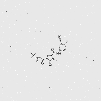 Cn1c(C(=O)Nc2ccc(F)c(C#N)c2)cc(C(=O)CNC(C)(C)C)c1Cl